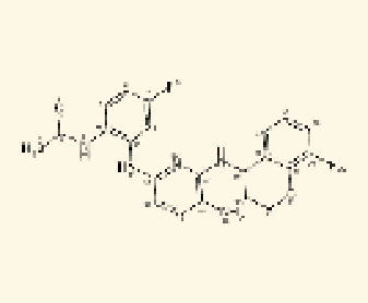 BC(=O)Nc1ccc(F)cc1Nc1ncc(N)c(NC2CCOc3c(F)cccc32)n1